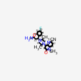 C[C@@H]1CN(c2cc(=O)n(C)c3ccc(C#N)nc23)[C@@H](C)CN1C(CC(N)=O)c1ccc(F)cc1